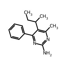 CCC(C)c1c(C)nc(N)nc1-c1ccccc1